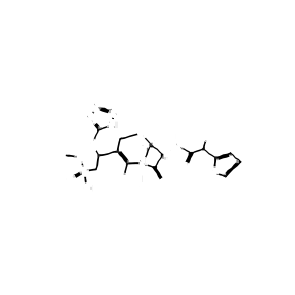 CCOP(=O)(O)CC(Sc1nnn[nH]1)C1=C(C(=O)O)N2C(=O)[C@@H](NC(=O)C(O)c3cccs3)[C@@H]2SC1